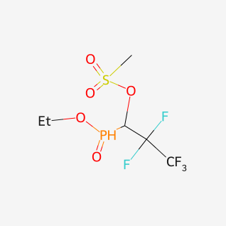 CCO[PH](=O)C(OS(C)(=O)=O)C(F)(F)C(F)(F)F